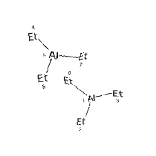 C[CH2][Al]([CH2]C)[CH2]C.C[CH2][Al]([CH2]C)[CH2]C